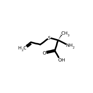 C=CCS[C@@](C)(N)C(=O)O